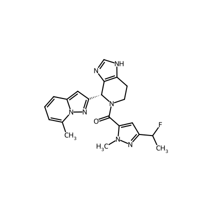 Cc1cccc2cc([C@@H]3c4nc[nH]c4CCN3C(=O)c3cc(C(C)F)nn3C)nn12